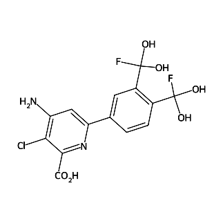 Nc1cc(-c2ccc(C(O)(O)F)c(C(O)(O)F)c2)nc(C(=O)O)c1Cl